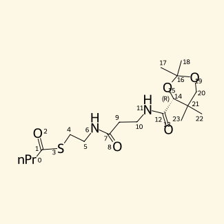 CCCC(=O)SCCNC(=O)CCNC(=O)[C@@H]1OC(C)(C)OCC1(C)C